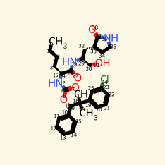 CCCC[C@H](NC(=O)O[C@@H](c1ccccc1)C(C)(C)c1cccc(Cl)c1)C(=O)N[C@H](CO)C[C@H]1CCNC1=O